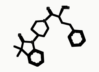 CN[C@@H](CCc1ccccc1)C(=O)N1CCC(N2C(=O)C(C)(C)c3ccccc32)CC1